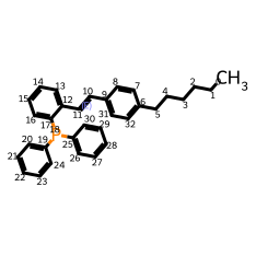 CCCCCCc1ccc(/C=C/c2ccccc2P(c2ccccc2)c2ccccc2)cc1